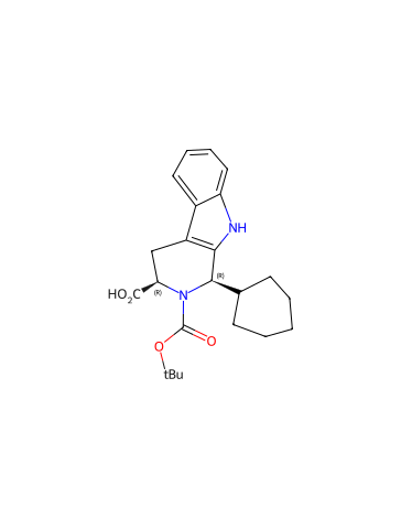 CC(C)(C)OC(=O)N1[C@@H](C(=O)O)Cc2c([nH]c3ccccc23)[C@H]1C1CCCCC1